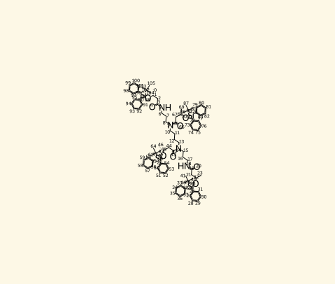 C[C@H](CC(=O)NCCCN(CCCCN(CCCNC(=O)C[C@@H](C)O[Si](c1ccccc1)(c1ccccc1)C(C)(C)C)C(=O)C[C@@H](C)O[Si](c1ccccc1)(c1ccccc1)C(C)(C)C)C(=O)C[C@@H](C)O[Si](c1ccccc1)(c1ccccc1)C(C)(C)C)O[Si](c1ccccc1)(c1ccccc1)C(C)(C)C